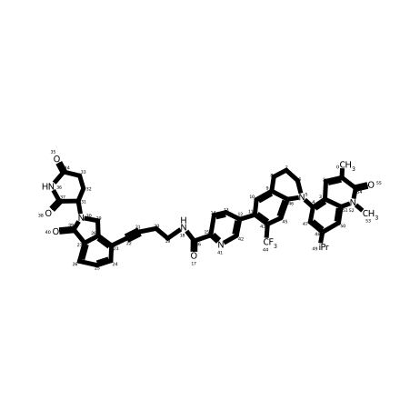 Cc1cc2c(N3CCCc4cc(-c5ccc(C(=O)NCCC#Cc6cccc7c6CN(C6CCC(=O)NC6=O)C7=O)nc5)c(C(F)(F)F)cc43)cc(C(C)C)cc2n(C)c1=O